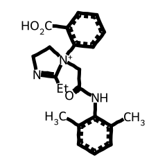 CCC1=NCC[N+]1(CC(=O)Nc1c(C)cccc1C)c1ccccc1C(=O)O